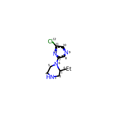 CCC1CNCCN1c1cncc(Cl)n1